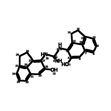 N=C(Nc1c(O)cc2cccc3c2c1CC3)Nc1c(O)cc2cccc3c2c1CC3